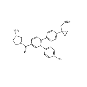 COCC1(c2ccc(-c3ccc(C(=O)N4CC[C@H](N)C4)cc3-c3ccc(C#N)cc3)cc2)CC1